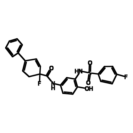 O=C(Nc1ccc(O)c(NS(=O)(=O)c2ccc(F)cc2)c1)C1(F)C=CC(c2ccccc2)=CC1